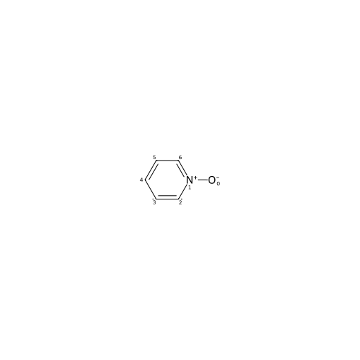 [O-][n+]1[c][c]ccc1